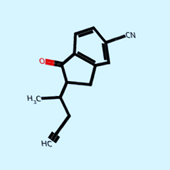 C#CCC(C)C1Cc2cc(C#N)ccc2C1=O